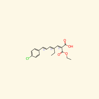 CCOC(=O)\C(=C/C(=C/C=C/c1ccc(Cl)cc1)CC)C(=O)O